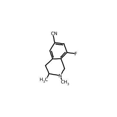 CC1Cc2cc(C#N)cc(F)c2CN1C